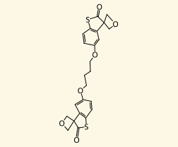 O=C1Sc2ccc(OCCCCOc3ccc4c(c3)C3(COC3)C(=O)S4)cc2C12COC2